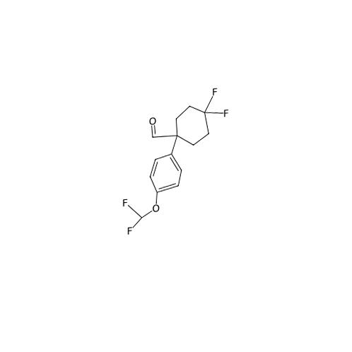 O=CC1(c2ccc(OC(F)F)cc2)CCC(F)(F)CC1